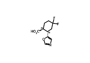 O=C(O)[C@H]1CCC(F)(F)C[C@@H]1c1cnco1